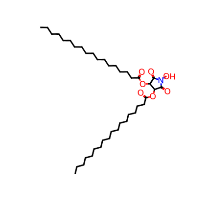 CCCCCCCCCCCCCCCCCC(=O)OC1C(=O)N(O)C(=O)C1OC(=O)CCCCCCCCCCCCCCCCC